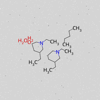 CCC1CCCN(CC)C1.CCC1CCCN(CC)C1.CCCCC.O.O